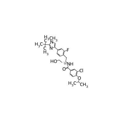 CC(C)Oc1ccc(C(=O)N[C@H](CCO)Cc2ccc(-c3cn(C)c(C(C)(C)C)n3)cc2F)cc1Cl